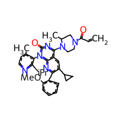 C=CC(=O)N1CCN(c2nc(=O)n(-c3c(C)ccnc3C(C)C)c3nc(-c4ccccc4OC)c(C4CC4)cc23)C(C)C1